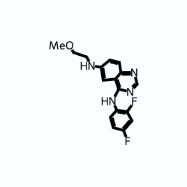 COCCNc1ccc2ncnc(Nc3ccc(F)cc3F)c2c1